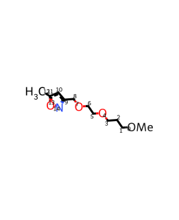 COCCCOCCOCc1cc(C)on1